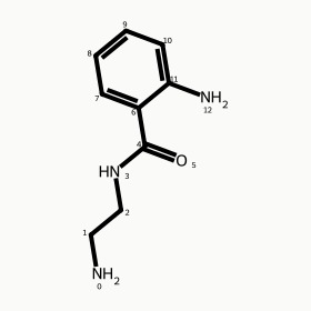 NCCNC(=O)c1ccccc1N